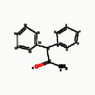 O=C([SiH3])C(c1ccccc1)c1ccccc1